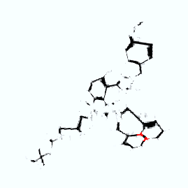 COc1ccc(Cn2nnc(-c3c(Br)ccc(S(=O)(=O)NCC(O)CNC(=O)OC(C)(C)C)c3S(=O)(=O)N(Cc3ccccc3)Cc3ccccc3)n2)cc1